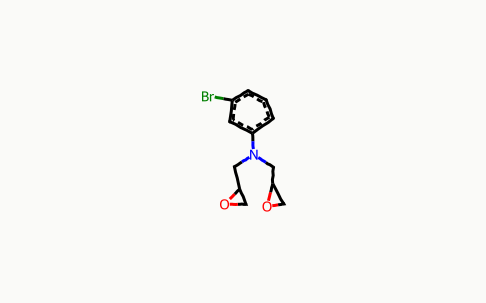 Brc1cccc(N(CC2CO2)CC2CO2)c1